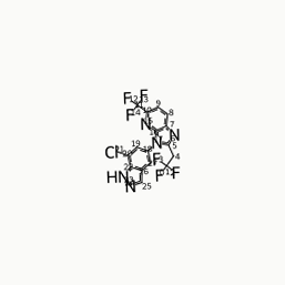 FC(F)(F)Cc1nc2ccc(C(F)(F)F)nc2n1-c1cc(Cl)c2[nH]ncc2c1